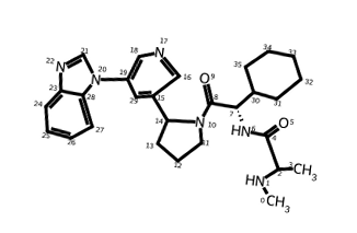 CNC(C)C(=O)N[C@H](C(=O)N1CCCC1c1cncc(-n2cnc3ccccc32)c1)C1CCCCC1